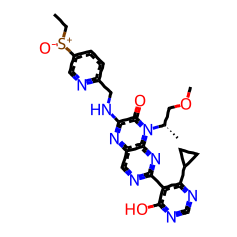 CC[S+]([O-])c1ccc(CNc2nc3cnc(-c4c(O)ncnc4C4CC4)nc3n([C@@H](C)COC)c2=O)nc1